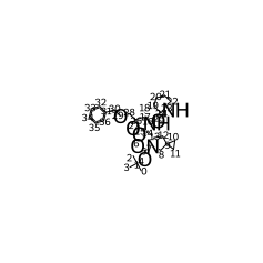 CC(C)(C)OC(=O)N1CC2(CC2)C[C@H]1C(=O)N[C@@H](C[C@@H]1CCCNC1=O)C(=O)COCc1ccccc1